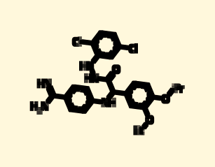 CCOc1cc(C(Nc2ccc(C(=N)N)cc2)C(=O)NNc2cc(Cl)ccc2Cl)ccc1OC(C)C